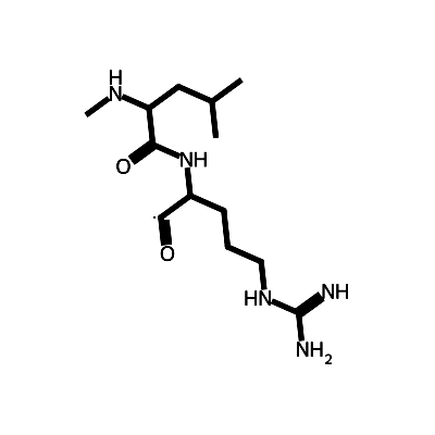 CNC(CC(C)C)C(=O)NC([C]=O)CCCNC(=N)N